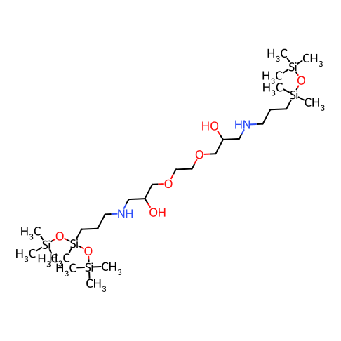 C[Si](C)(C)O[Si](C)(C)CCCNCC(O)COCCOCC(O)CNCCC[Si](C)(O[Si](C)(C)C)O[Si](C)(C)C